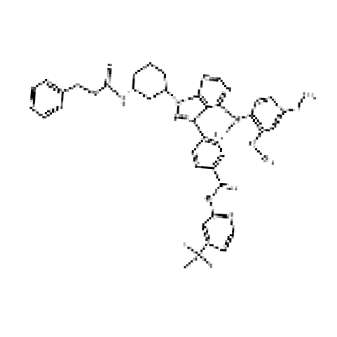 COc1ccc(N(C)c2nccc3c2c(-c2ccc(C(=O)Nc4cc(C(F)(F)F)ccn4)cc2)nn3C2CCC[C@@H](NC(=O)OCc3ccccc3)C2)c(OC)c1